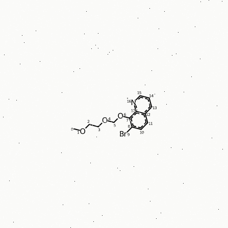 COCCOCOc1c(Br)ccc2cccnc12